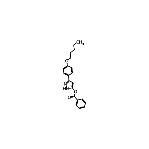 CCCCCOc1ccc(-c2cc(OC(=O)c3ccccc3)[nH]n2)cc1